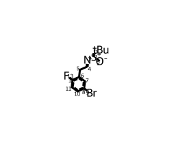 CC(C)(C)[S+]([O-])/N=C/Cc1cc(Br)ccc1F